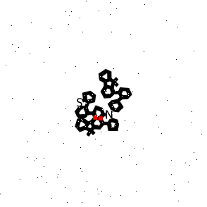 CC1(C)c2ccccc2-c2ccc(-c3ccccc3N(c3ccc(-c4ccccc4-c4cccc5c4C(C)(C)c4ccccc4-5)cc3)c3ccc(-c4cccc5sc6ccccc6c45)cc3)cc21